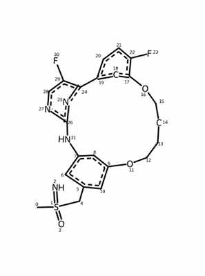 CS(=N)(=O)Cc1cc2cc(c1)OCCCCOc1cc(ccc1F)-c1nc(ncc1F)N2